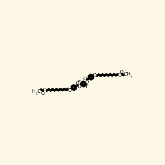 C=CC(=O)OCCCCCCCCCCCCOc1ccc(C(=O)Oc2cc(F)c(OC(=O)c3ccc(OCCCCCCCCCCCCOC(=O)C=C)cc3)cc2F)cc1